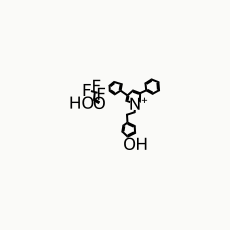 O=C(O)C(F)(F)F.Oc1ccc(CC[n+]2cc(-c3ccccc3)cc(-c3ccccc3)c2)cc1